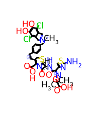 CC(C)(O/N=C(\C(=O)N[C@@H]1C(=O)N2C(C(=O)O)=C(/C=C\c3ccc(C[N+]4(C)Cc5c(Cl)c(O)c(O)c(Cl)c5C4)cc3)CS[C@H]12)c1csc(N)n1)C(=O)O